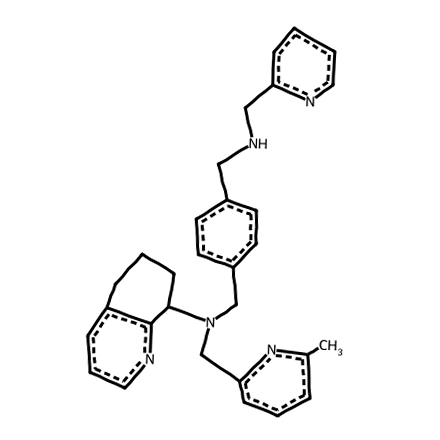 Cc1cccc(CN(Cc2ccc(CNCc3ccccn3)cc2)C2CCCc3cccnc32)n1